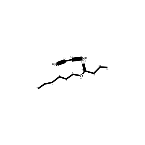 CCCCCCOC(=O)CCC.N#CC#N